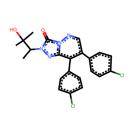 CC(n1nc2c(-c3ccc(Cl)cc3)c(-c3ccc(Cl)cc3)cnn2c1=O)C(C)(C)O